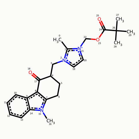 Cc1n(CC2CCc3c(c4ccccc4n3C)C2=O)cc[n+]1COC(=O)C(C)(C)C